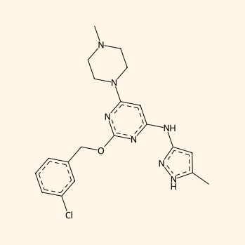 Cc1cc(Nc2cc(N3CCN(C)CC3)nc(OCc3cccc(Cl)c3)n2)n[nH]1